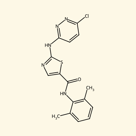 Cc1cccc(C)c1NC(=O)c1cnc(Nc2ccc(Cl)nn2)s1